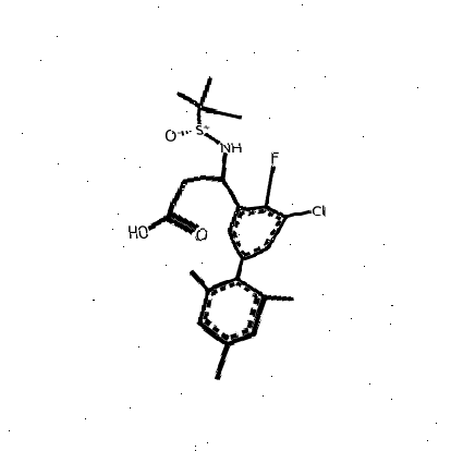 Cc1cc(C)c(-c2cc(Cl)c(F)c(C(CC(=O)O)N[S@+]([O-])C(C)(C)C)c2)c(C)c1